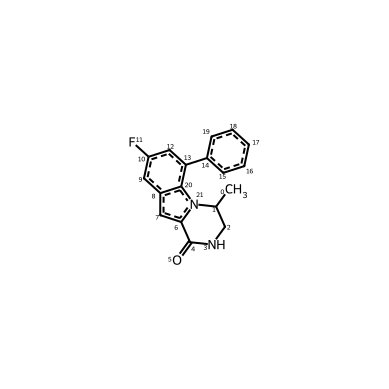 CC1CNC(=O)c2cc3cc(F)cc(-c4ccccc4)c3n21